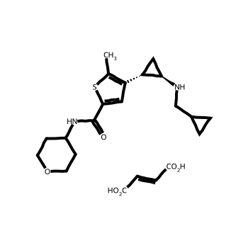 Cc1sc(C(=O)NC2CCOCC2)cc1[C@@H]1C[C@H]1NCC1CC1.O=C(O)C=CC(=O)O